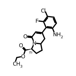 CCOC(=O)[C@@H]1CCC2CC(c3c(N)ccc(Cl)c3F)=CC(=O)N21